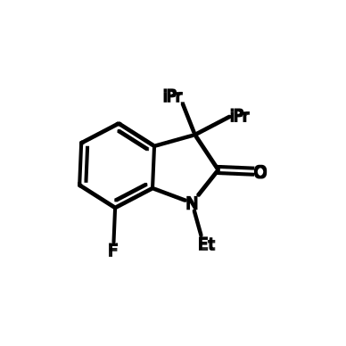 CCN1C(=O)C(C(C)C)(C(C)C)c2cccc(F)c21